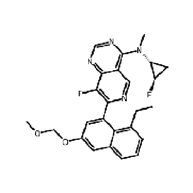 CCc1cccc2cc(OCOC)cc(-c3ncc4c(N(C)[C@@H]5C[C@H]5F)ncnc4c3F)c12